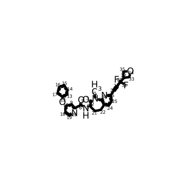 CN1C(=O)[C@@H](NC(=O)c2cc(Oc3ccccc3)ccn2)CCc2ccc(C#CC(F)(F)C3COC3)nc21